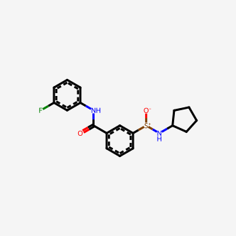 O=C(Nc1cccc(F)c1)c1cccc([S+]([O-])NC2CCCC2)c1